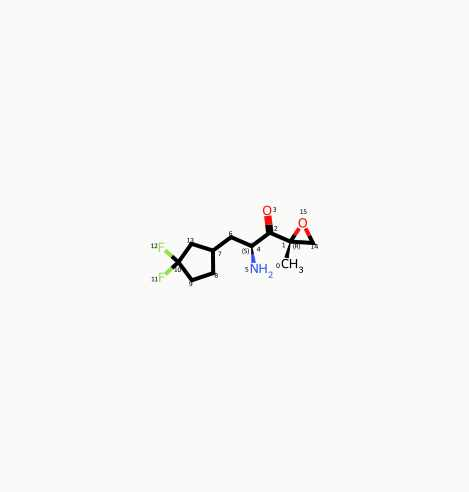 C[C@]1(C(=O)[C@@H](N)CC2CCC(F)(F)C2)CO1